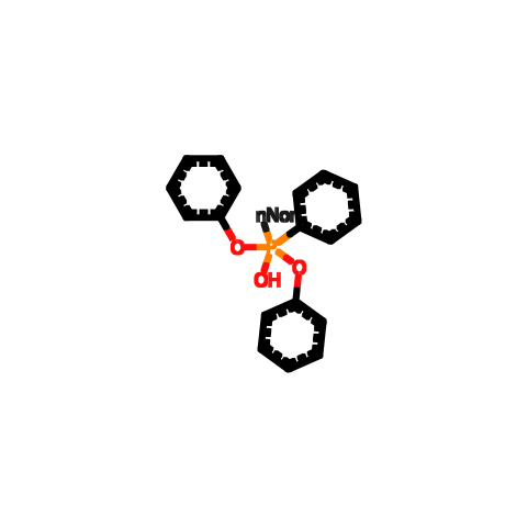 CCCCCCCCCP(O)(Oc1ccccc1)(Oc1ccccc1)c1ccccc1